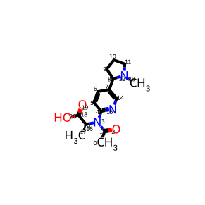 CC(=O)N(c1ccc(C2CCCN2C)cn1)[C@@H](C)C(=O)O